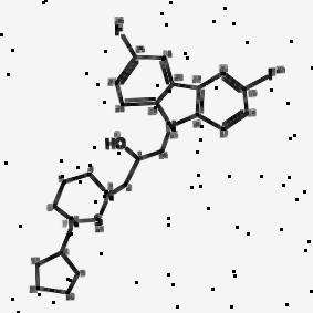 OC(CN1CCCN(C2CCCC2)S1)Cn1c2ccc(F)cc2c2cc(F)ccc21